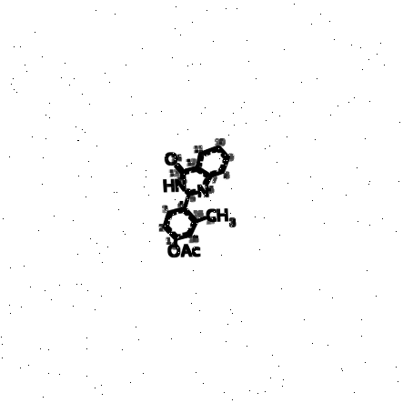 CC(=O)Oc1ccc(-c2nc3ccccc3c(=O)[nH]2)c(C)c1